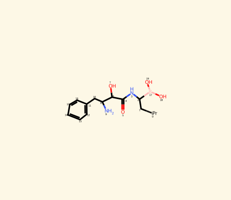 CC(C)CC(NC(=O)C(O)C(N)Cc1ccccc1)B(O)O